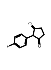 O=C1CCC(=O)C1c1ccc(F)cc1